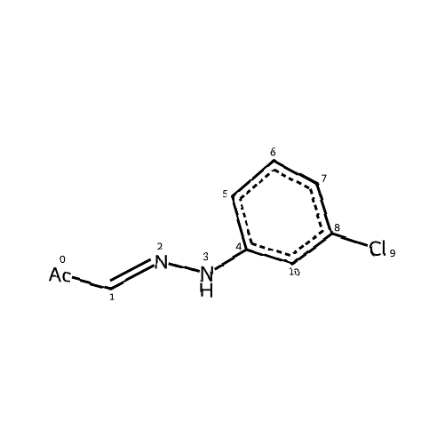 CC(=O)C=NNc1cccc(Cl)c1